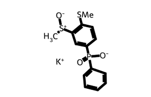 CSc1ccc(P(=O)([O-])c2ccccc2)cc1[S+](C)[O-].[K+]